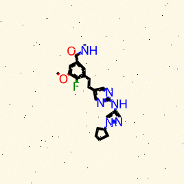 CNC(=O)c1cc(CCc2cnc(Nc3cnn(C4CCCC4)c3)nc2)c(F)c(OC)c1